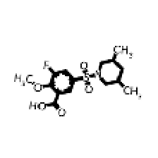 COc1c(F)cc(S(=O)(=O)N2CC(C)CC(C)C2)cc1C(=O)O